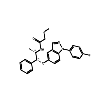 COCC(=O)N[C@@H](C)[C@H](Oc1ccc2c(cnn2-c2ccc(F)cc2)c1)c1ccccc1